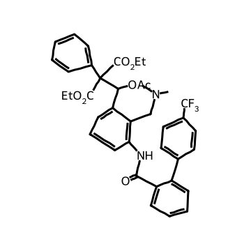 CCOC(=O)C(C(=O)OCC)(c1ccccc1)C(OC(C)=O)c1cccc(NC(=O)c2ccccc2-c2ccc(C(F)(F)F)cc2)c1CN(C)C